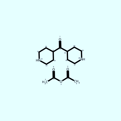 CC(=O)OC(C)=O.O=C(C1CCNCC1)C1CCNCC1